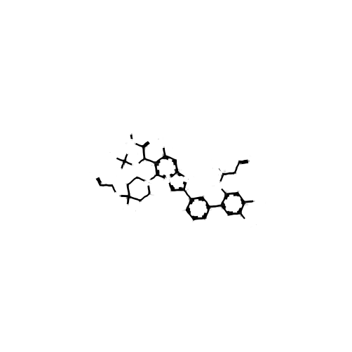 C=CCOC1(C)CCN(c2c(C(OC(C)(C)C)C(=O)OC)c(C)cc3nc(-c4cccc(-c5cc(C)c(C)cc5O[C@@H](C)CC=C)c4)cn23)CC1